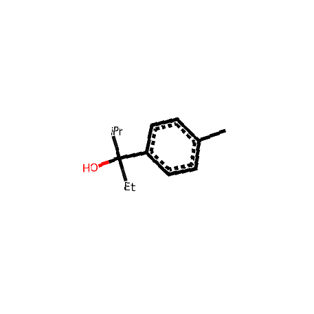 CCC(O)(c1ccc(C)cc1)C(C)C